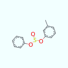 Cc1cccc(OS(=O)Oc2ccccc2)c1